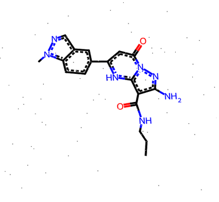 CCCNC(=O)c1c(N)nn2c(=O)cc(-c3ccc4c(cnn4C)c3)[nH]c12